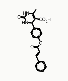 CC1=C(C(=O)O)C(c2ccc(OC(=O)/C=C/c3ccccc3)cc2)NC(=O)N1